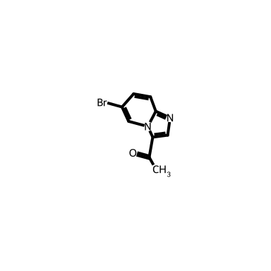 CC(=O)c1cnc2ccc(Br)cn12